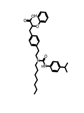 CCCCCCCN(CCc1ccc(CC(Oc2ccccc2)C(=O)O)cc1)C(=O)Nc1ccc(C(C)C)cc1